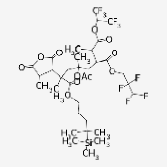 CC(=O)OC(C)(CC(C(=O)OCC(F)(F)C(F)F)C(C)C(=O)OC(C(F)(F)F)C(F)(F)F)CC(C)(C(=O)OCCCC(C)(C)[Si](C)(C)C)C1C(=O)OC(=O)C1C